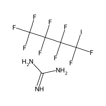 FC(F)(F)C(F)(F)C(F)(F)C(F)(F)I.N=C(N)N